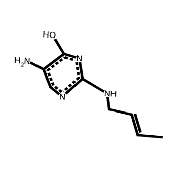 CC=CCNc1ncc(N)c(O)n1